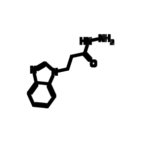 NNC(=O)CCn1cnc2ccccc21